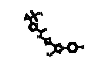 Cc1nn(-c2ccc(Cl)cc2)nc1C12CC(NC(=O)c3ccc(C4(S(C)(=O)=O)CC4)o3)(C1)C2